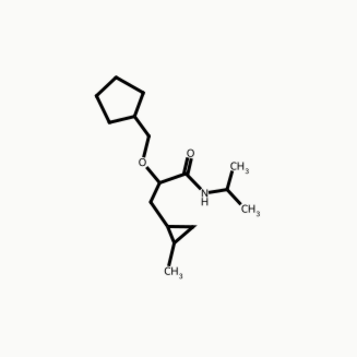 CC(C)NC(=O)C(CC1CC1C)OCC1CCCC1